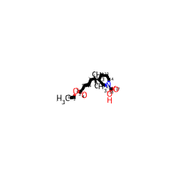 CCOC(=O)/C=C/CC(C)(C)[C@H]1CCCN(C(=O)O)C1